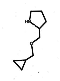 C1CNC(COCC2CC2)C1